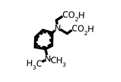 CN(C)c1cccc(N(CC(=O)O)CC(=O)O)c1